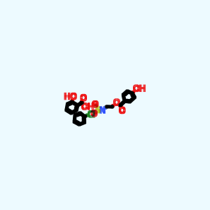 Clc1ccccc1.O=C(O)c1ccccc1O.O=C(OCCN=S(=O)=O)c1ccc(O)cc1